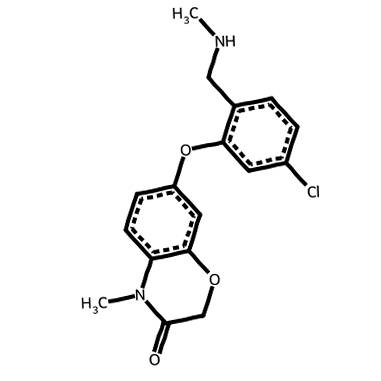 CNCc1ccc(Cl)cc1Oc1ccc2c(c1)OCC(=O)N2C